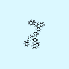 C=C(/C=C\C=C(/C)N(c1ccc(-c2ccc(-c3ccccc3)c(-c3ccc4oc5ccccc5c4c3)c2)cc1)c1ccc(-c2cccc3ccccc23)cc1)c1ccccc1